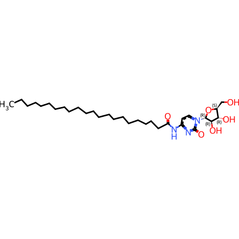 CCCCCCCCCCCCCCCCCCCCCC(=O)Nc1ccn([C@@H]2O[C@@H](CO)[C@H](O)[C@H]2O)c(=O)n1